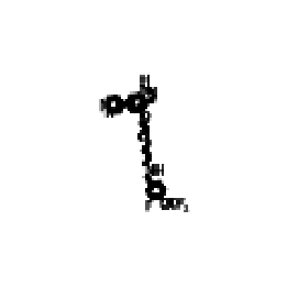 Fc1cc(CNCCCCOCCOc2cc(-c3ccnnc3)cc3[nH]ncc23)ccc1OC(F)(F)F